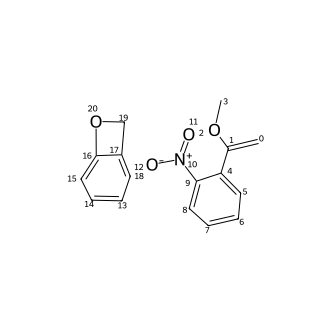 C=C(OC)c1ccccc1[N+](=O)[O-].c1ccc2c(c1)CO2